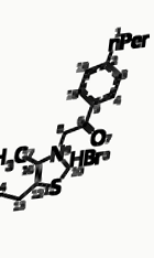 Br.CCCCCc1ccc(C(=O)CN2CSC(CCO)=C2C)cc1